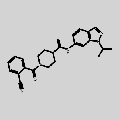 CC(C)n1ncc2ccc(NC(=O)C3CCN(C(=O)c4ccccc4C#N)CC3)cc21